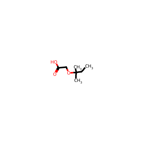 CCC(C)(C)OCC(=O)O